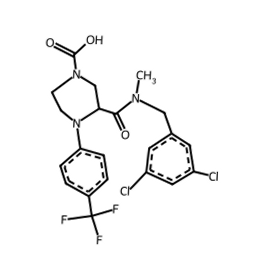 CN(Cc1cc(Cl)cc(Cl)c1)C(=O)C1CN(C(=O)O)CCN1c1ccc(C(F)(F)F)cc1